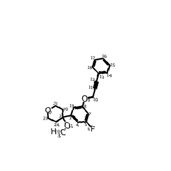 COC1(c2cc(F)cc(OCC#Cc3ccccc3)c2)CCOCC1